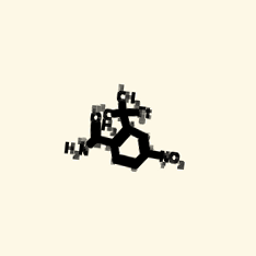 CCC(C)(C)c1cc([N+](=O)[O-])ccc1C(N)=O